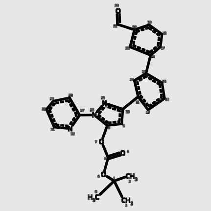 CC(C)(C)OC(=O)Oc1cc(-c2cccc(-c3cccc(C=O)c3)c2)nn1-c1ccccn1